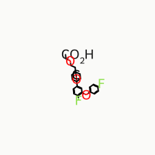 O=C(O)COCCC12CCC(c3ccc(F)c(Oc4ccc(F)cc4)c3)(CC1)OC2